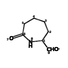 O=[C]C1CCCCC(=O)N1